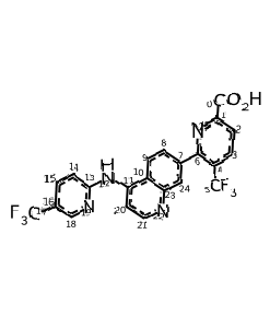 O=C(O)c1ccc(C(F)(F)F)c(-c2ccc3c(Nc4ccc(C(F)(F)F)cn4)ccnc3c2)n1